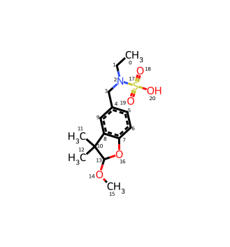 CCN(Cc1ccc2c(c1)C(C)(C)C(OC)O2)S(=O)(=O)O